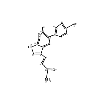 CC(=O)c1ccc(-c2cc3c(C=CC(N)=O)c[nH]c3nc2C)cc1